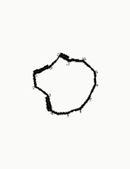 [C]1=C/C/C=C/CCCCCC/C=C/1